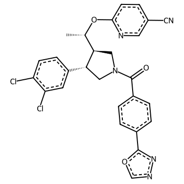 C[C@H](Oc1ccc(C#N)cn1)[C@H]1CN(C(=O)c2ccc(-c3nnco3)cc2)C[C@@H]1c1ccc(Cl)c(Cl)c1